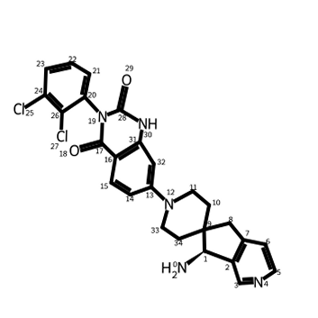 N[C@@H]1c2cnccc2CC12CCN(c1ccc3c(=O)n(-c4cccc(Cl)c4Cl)c(=O)[nH]c3c1)CC2